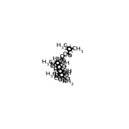 Cc1cc(C)cc(C(=O)OCOC(=O)Nc2cc(N(C)C)c3c(c2O)C(=O)C2=C(O)[C@]4(O)C(=O)C(C(N)=O)=C(O)[C@@H](N(C)C)[C@@H]4C[C@@H]2C3)c1